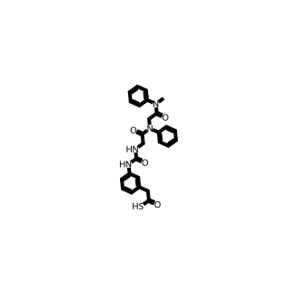 CN(C(=O)CN(C(=O)CNC(=O)Nc1cccc(CC(=O)S)c1)c1ccccc1)c1ccccc1